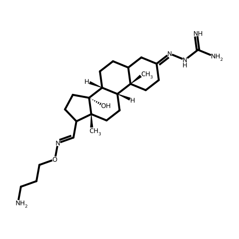 C[C@]12CCC(=NNC(=N)N)CC1CC[C@@H]1[C@H]2CC[C@]2(C)C(C=NOCCCN)CC[C@@]12O